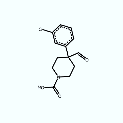 O=CC1(c2cccc(Cl)c2)CCN(C(=O)O)CC1